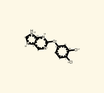 Clc1ccc(Oc2ncc3nc[nH]c3n2)cc1Cl